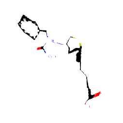 NC(=O)N(Cc1ccccc1)[C@H]1CS/C(=C/CCCC(=O)O)C1